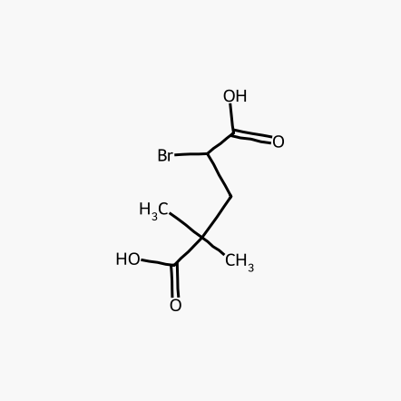 CC(C)(CC(Br)C(=O)O)C(=O)O